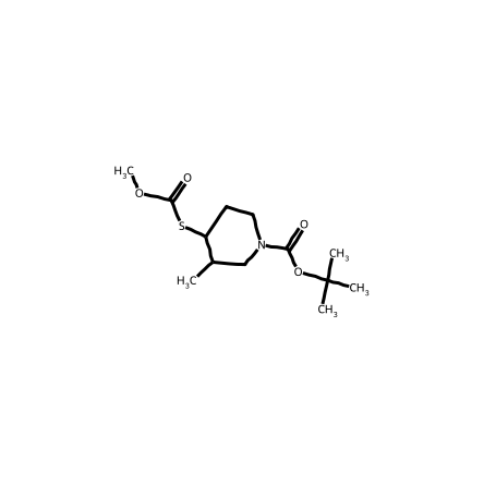 COC(=O)SC1CCN(C(=O)OC(C)(C)C)CC1C